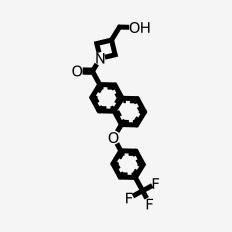 O=C(c1ccc2c(Oc3ccc(C(F)(F)F)cc3)cccc2c1)N1CC(CO)C1